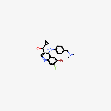 CN(C)Cc1ccc(Nc2c(C(=O)C3CC3)cnc3cc(F)c(Br)cc23)cc1